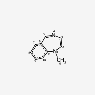 CN1C=CN=Cc2ccccc21